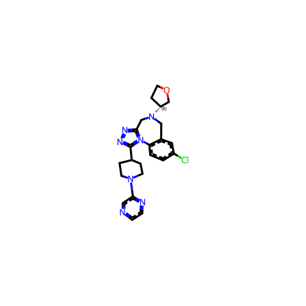 Clc1ccc2c(c1)CN([C@@H]1CCOC1)Cc1nnc(C3CCN(c4cnccn4)CC3)n1-2